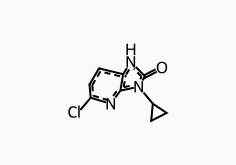 O=c1[nH]c2ccc(Cl)nc2n1C1CC1